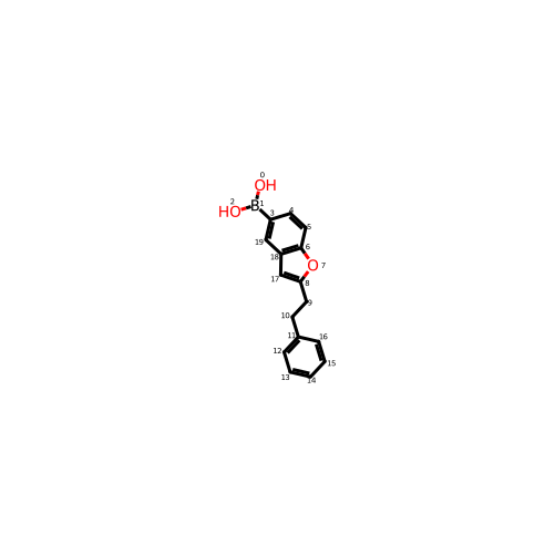 OB(O)c1ccc2oc(CCc3ccccc3)cc2c1